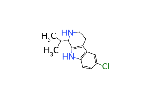 CC(C)C1NCCc2c1[nH]c1ccc(Cl)cc21